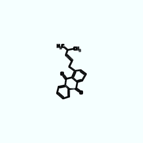 CC(C)C=CCc1cccc2c1C(=O)c1ccccc1C2=O